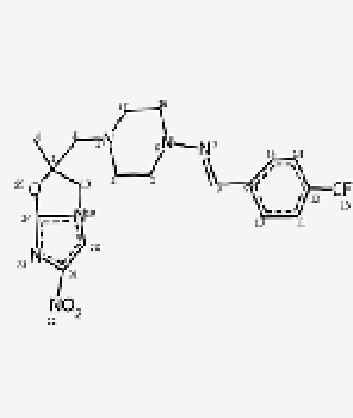 CC1(CN2CCN(N=Cc3ccc(C(F)(F)F)cc3)CC2)Cn2cc([N+](=O)[O-])nc2O1